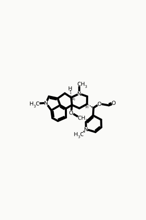 COC12C[C@@H](C(OC=O)C3=CN(C)C=CC3)CN(C)[C@@H]1Cc1cn(C)c3cccc2c13